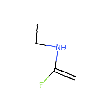 C=C(F)NCC